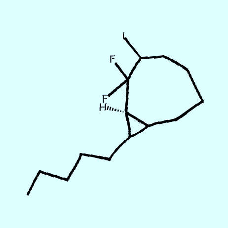 CCCCCC1C2CCCCC(I)C(F)(F)[C@H]12